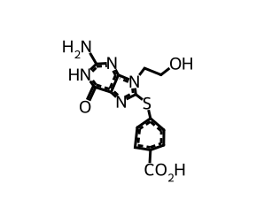 Nc1nc2c(nc(Sc3ccc(C(=O)O)cc3)n2CCO)c(=O)[nH]1